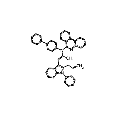 C=CCc1c(/C=C(\C)N(c2ccc(-c3ccccc3)cc2)c2nc3ccccc3c3ccccc23)c2ccccc2n1-c1ccccc1